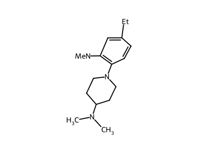 CCc1ccc(N2CCC(N(C)C)CC2)c(NC)c1